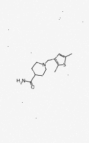 Cc1cc(CN2CCC(C(N)=O)CC2)c(C)s1